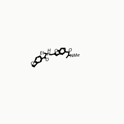 CCC(NCc1cc2cc(C(=O)C(C)NC)ccc2o1)C(=O)c1ccc2occc2c1